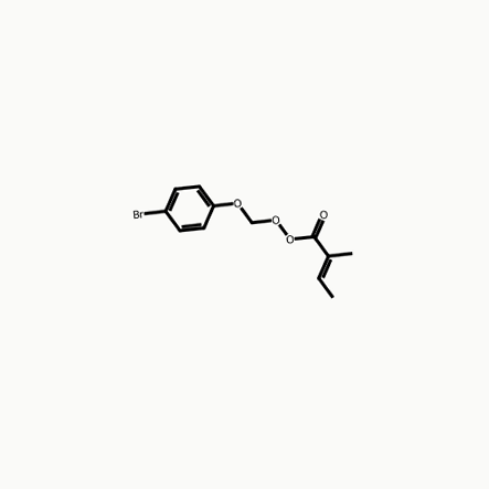 CC=C(C)C(=O)OOCOc1ccc(Br)cc1